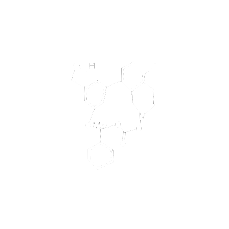 COc1cc(CC(=O)O)cc(-c2ccc(F)c3c2CN(OC(=O)OCc2ccccc2)CC3)c1